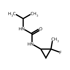 CC(C)NC(=O)NC1CC1(C)F